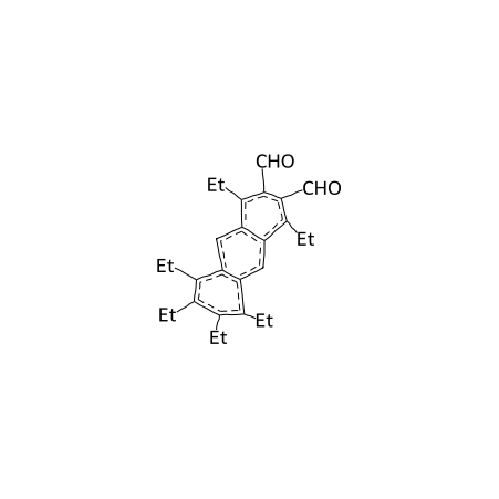 CCc1c(CC)c(CC)c2cc3c(CC)c(C=O)c(C=O)c(CC)c3cc2c1CC